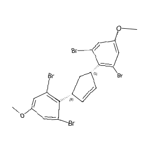 COc1cc(Br)c([C@@H]2C=C[C@H](c3c(Br)cc(OC)cc3Br)C2)c(Br)c1